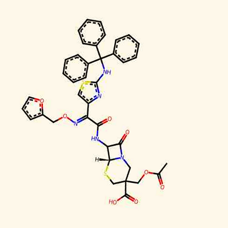 CC(=O)OCC1(C(=O)O)CS[C@@H]2C(NC(=O)C(=NOCc3ccco3)c3csc(NC(c4ccccc4)(c4ccccc4)c4ccccc4)n3)C(=O)N2C1